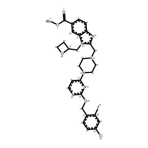 CC(C)(C)OC(=O)c1ccc2nc(CN3CCN(c4ccnc(OCc5ccc(Cl)cc5F)n4)CC3)n(CC3CCO3)c2c1